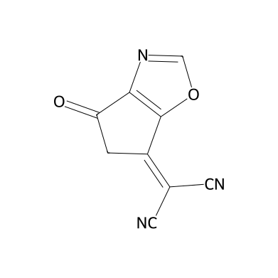 N#CC(C#N)=C1CC(=O)c2ncoc21